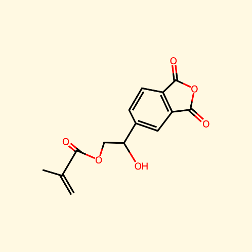 C=C(C)C(=O)OCC(O)c1ccc2c(c1)C(=O)OC2=O